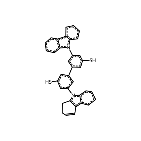 Sc1cc(-c2cc(S)cc(-n3c4ccccc4c4ccccc43)c2)cc(-n2c3c(c4ccccc42)C=CCC3)c1